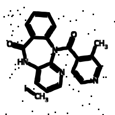 CI.Cc1cnccc1C(=O)N1c2ccccc2C(=O)Nc2cccnc21